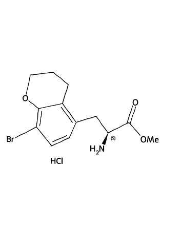 COC(=O)[C@@H](N)Cc1ccc(Br)c2c1CCCO2.Cl